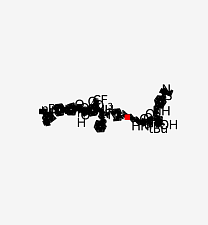 C=C(CCC)C1=C(CN2CCN(c3ccc(C(=O)NS(=O)(=O)c4ccc(N[C@H](CCN5CCN(CCCCCCC(=O)N[C@H](C(=O)N6C[C@H](O)C[C@H]6C(=O)NCc6ccc(-c7scnc7C)cc6)C(C)(C)C)CC5)CSc5ccccc5)c(S(=O)(=O)C(F)(F)F)c4)cc3)CC2)CCC(C)(C)C1